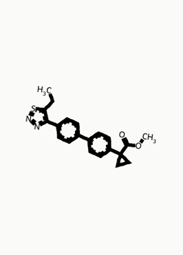 CCc1snnc1-c1ccc(-c2ccc(C3(C(=O)OC)CC3)cc2)cc1